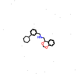 c1cc(CNCC2OCOc3ccccc32)cc(C2CCCCC2)c1